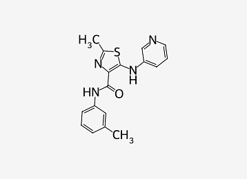 Cc1cccc(NC(=O)c2nc(C)sc2Nc2cccnc2)c1